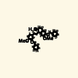 COc1ccc(C=CC2c3cc(OC)c(OCc4ccccc4)cc3CCN2C)cc1OCc1ccccc1